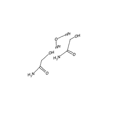 CCCOCCC.NC(=O)CO.NC(=O)CO